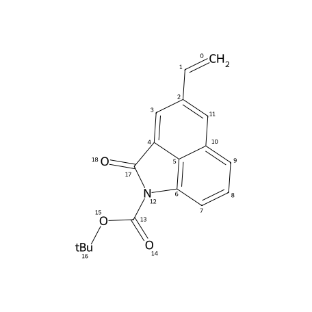 C=Cc1cc2c3c(cccc3c1)N(C(=O)OC(C)(C)C)C2=O